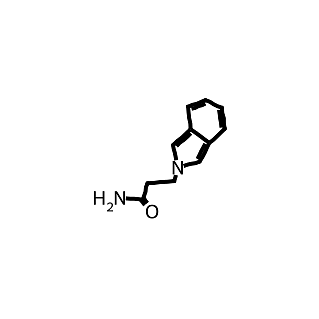 NC(=O)CCn1cc2ccccc2c1